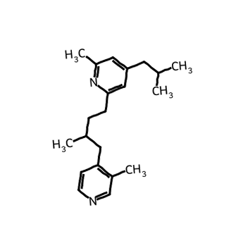 Cc1cc(CC(C)C)cc(CCC(C)Cc2ccncc2C)n1